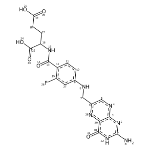 Nc1nc2ncc(CNc3ccc(C(=O)NC(CCC(=O)O)C(=O)O)c(F)c3)nc2c(=O)[nH]1